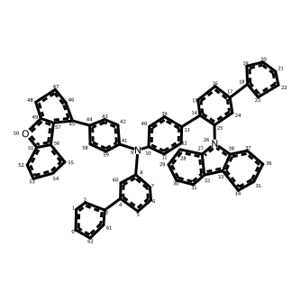 c1ccc(-c2cccc(N(c3ccc(-c4ccc(-c5ccccc5)cc4-n4c5ccccc5c5ccccc54)cc3)c3ccc(-c4cccc5oc6ccccc6c45)cc3)c2)cc1